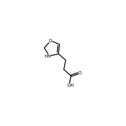 O=C(O)CCC1=COCN1